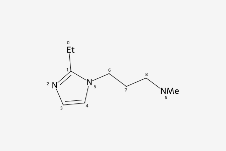 CCc1nccn1CCCNC